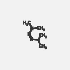 CC(C)/N=N\N(C)C